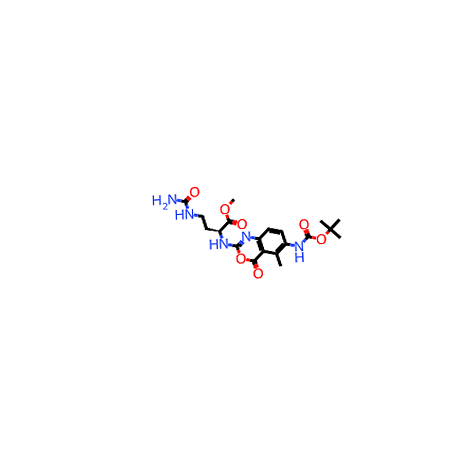 COC(=O)[C@H](CCNC(N)=O)Nc1nc2ccc(NC(=O)OC(C)(C)C)c(C)c2c(=O)o1